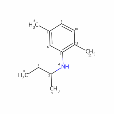 CCC(C)Nc1cc(C)ccc1C